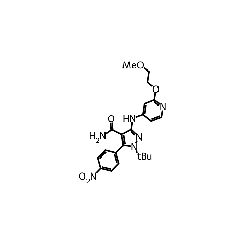 COCCOc1cc(Nc2nn(C(C)(C)C)c(-c3ccc([N+](=O)[O-])cc3)c2C(N)=O)ccn1